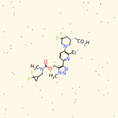 CCc1nc(-c2nnn(C)c2COC(=O)N(C)CC2CC2(F)F)ccc1N1C[C@@H](CC(=O)O)CC(F)(F)C1